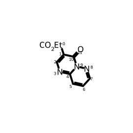 CCOC(=O)c1cnc2cccnn2c1=O